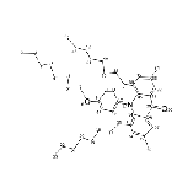 CCCCCCCCOc1ccc(-n2c3c(CCCCCCCC)cc(C)cc3c(=O)c3cc(C)cc(CCCCCCCC)c32)cc1